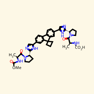 COC(=O)N[C@@H](C)C(=O)N1CCC[C@H]1c1ncc(-c2ccc3c(c2)C2(CCC2)c2cc(-c4cnc([C@@H]5CCCN5C(=O)[C@H](C)NC(=O)O)[nH]4)ccc2-3)[nH]1